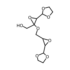 OCC1(OCC2OC2C2OCCO2)OC1C1OCCO1